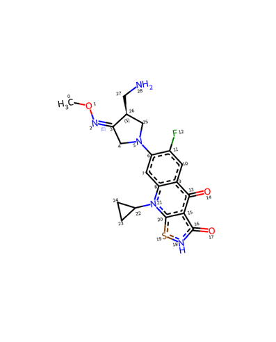 CO/N=C1/CN(c2cc3c(cc2F)c(=O)c2c(=O)[nH]sc2n3C2CC2)C[C@@H]1CN